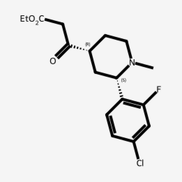 CCOC(=O)CC(=O)[C@@H]1CCN(C)[C@H](c2ccc(Cl)cc2F)C1